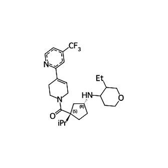 CCC1COCCC1N[C@@H]1CC[C@@](C(=O)N2CC=C(c3cc(C(F)(F)F)ccn3)CC2)(C(C)C)C1